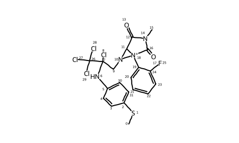 CSc1ccc(NC(Cl)(CN2C3C(=O)N(C)C(=O)[N+]32c2ccccc2F)C(Cl)(Cl)Cl)cc1